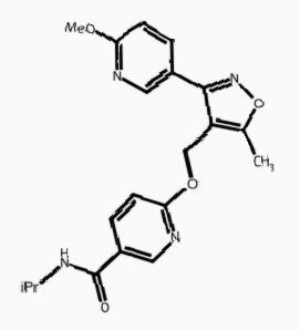 COc1ccc(-c2noc(C)c2COc2ccc(C(=O)NC(C)C)cn2)cn1